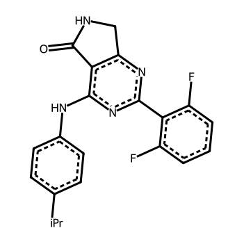 CC(C)c1ccc(Nc2nc(-c3c(F)cccc3F)nc3c2C(=O)NC3)cc1